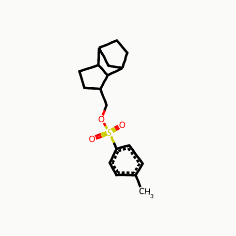 Cc1ccc(S(=O)(=O)OCC2CCC3C4CCC(C4)C23)cc1